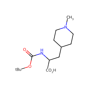 CN1CCC(CC(NC(=O)OC(C)(C)C)C(=O)O)CC1